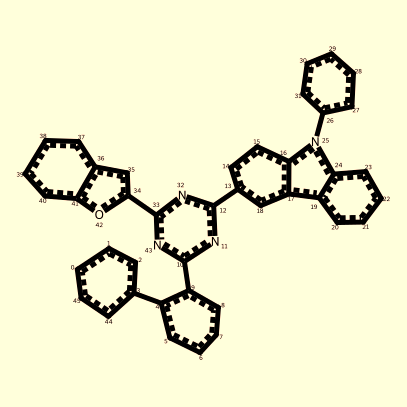 c1ccc(-c2ccccc2-c2nc(-c3ccc4c(c3)c3ccccc3n4-c3ccccc3)nc(-c3cc4ccccc4o3)n2)cc1